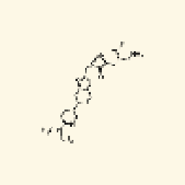 CN(C)c1ccc(-c2ccc3cc(Cn4cnn(CC(CN)=C(F)F)c4=O)sc3c2)cn1